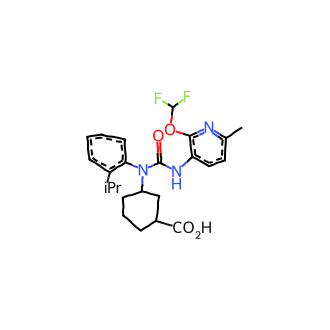 Cc1ccc(NC(=O)N(c2ccccc2C(C)C)C2CCCC(C(=O)O)C2)c(OC(F)F)n1